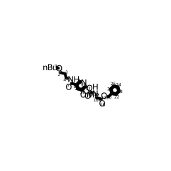 CCCCOCCCNC(=O)c1cnc(OC(=O)NCC(=O)OCc2ccccc2)c(OC)c1